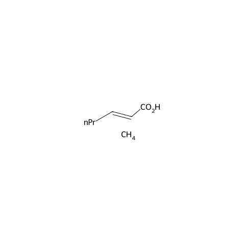 C.CCCC=CC(=O)O